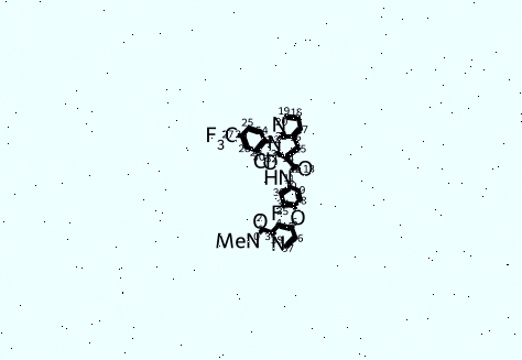 CNC(=O)c1cc(Oc2ccc(NC(=O)c3cc4cccnc4n(-c4ccc(C(F)(F)F)cc4Cl)c3=O)cc2F)ccn1